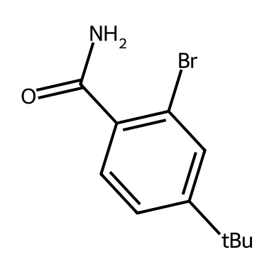 CC(C)(C)c1ccc(C(N)=O)c(Br)c1